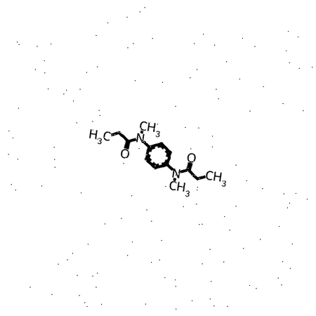 CCC(=O)N(C)c1ccc(N(C)C(=O)CC)cc1